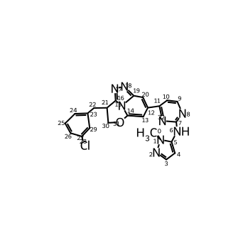 Cn1nccc1Nc1nccc(-c2cc3n4c(nnc4c2)C(Cc2cccc(Cl)c2)CO3)n1